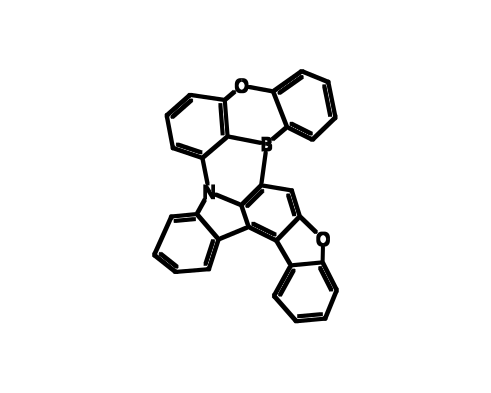 c1ccc2c(c1)Oc1cccc3c1B2c1cc2oc4ccccc4c2c2c4ccccc4n-3c12